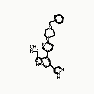 C=NCc1cnn2cc(-c3cn[nH]c3)cc(-c3ccc(N4CCN(Cc5ccccc5)CC4)nc3)c12